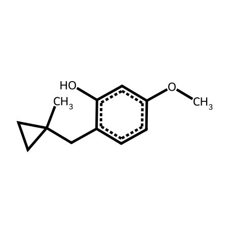 COc1ccc(CC2(C)CC2)c(O)c1